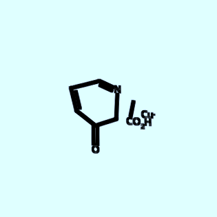 CC(=O)O.O=C1C=CC=NC1.[Cu]